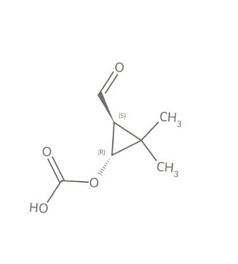 CC1(C)[C@H](C=O)[C@H]1OC(=O)O